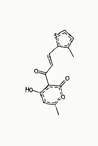 Cc1cc(O)c(C(=O)C=Cc2sccc2C)c(=O)o1